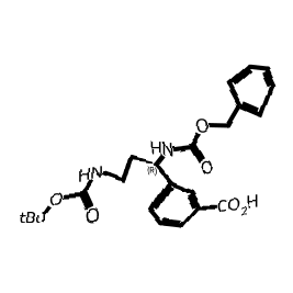 CC(C)(C)OC(=O)NCC[C@@H](NC(=O)OCc1ccccc1)c1cccc(C(=O)O)c1